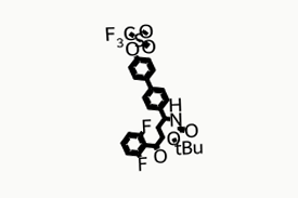 CC(C)(C)OC(=O)NC(CCC(=O)c1c(F)cccc1F)c1ccc(-c2ccc(OS(=O)(=O)C(F)(F)F)cc2)cc1